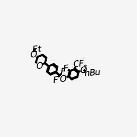 CCCCOc1ccc(OC(F)(F)c2ccc(C3CCC(OCC)CO3)cc2)c(F)c1C(F)(F)F